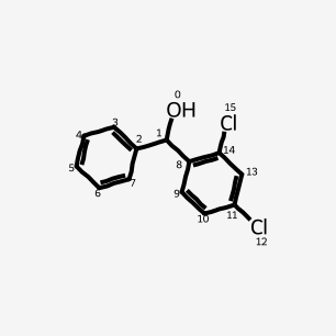 OC(c1ccccc1)c1ccc(Cl)cc1Cl